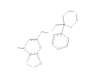 Cc1cc(COCC2(c3ccccc3)CCNCC2)cc2cn[nH]c12